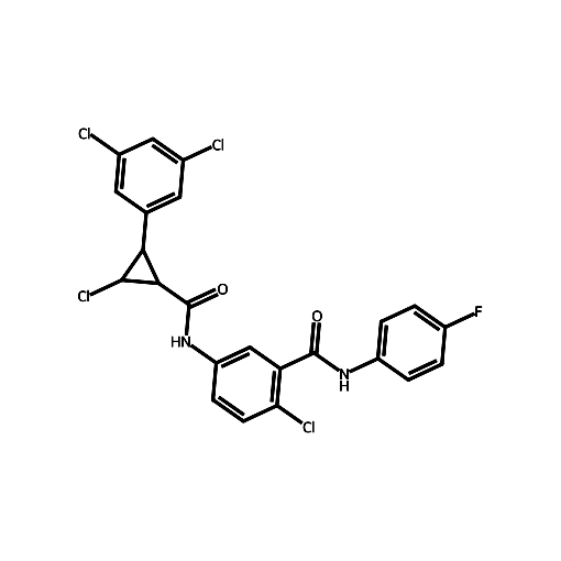 O=C(Nc1ccc(F)cc1)c1cc(NC(=O)C2C(Cl)C2c2cc(Cl)cc(Cl)c2)ccc1Cl